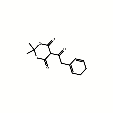 CC1(C)OC(=O)C(C(=O)CC2=CCCC=C2)C(=O)O1